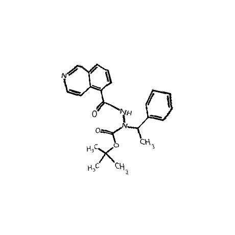 CC(c1ccccc1)N(NC(=O)c1cccc2cnccc12)C(=O)OC(C)(C)C